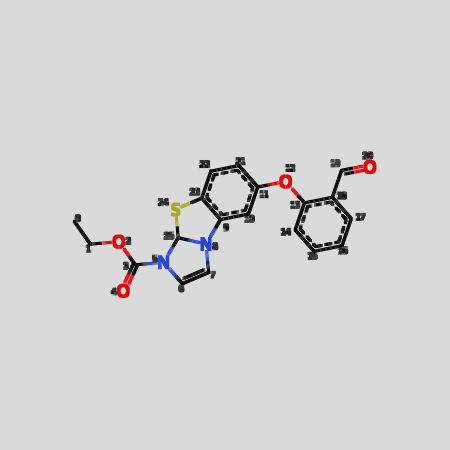 CCOC(=O)N1C=CN2c3cc(Oc4ccccc4C=O)ccc3SC12